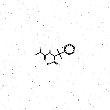 CC(C)C(=O)NC(C(=O)O)C(C)(C)c1ccccc1